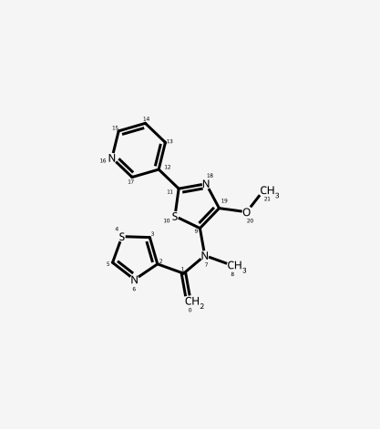 C=C(c1cscn1)N(C)c1sc(-c2cccnc2)nc1OC